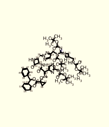 CC(C)(C)OC(=O)/N=C(/N1CC(CNC(=O)OC(C)(C)C)C1)N(Cc1cnn(C[C@H]2NC(=O)[C@H]2NC(=O)C(=NOC2(C(=O)OC(c3ccccc3)c3ccccc3)CC2)c2csc(NC(=O)OC(C)(C)C)n2)n1)C(=O)OC(C)(C)C